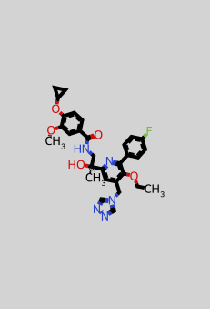 CCOc1c(Cn2cnnc2)cc([C@@](C)(O)CNC(=O)c2ccc(OC3CC3)c(OC)c2)nc1-c1ccc(F)cc1